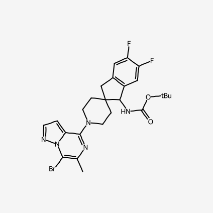 Cc1nc(N2CCC3(CC2)Cc2cc(F)c(F)cc2C3NC(=O)OC(C)(C)C)c2ccnn2c1Br